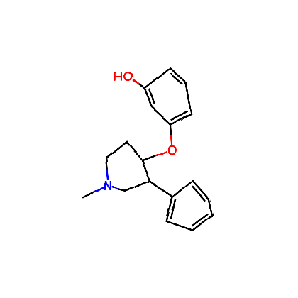 CN1CCC(Oc2cccc(O)c2)C(c2ccccc2)C1